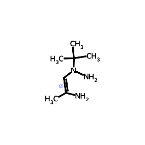 C/C(N)=C/N(N)C(C)(C)C